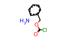 N.O=C(Cl)OCc1ccccc1